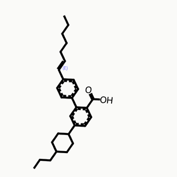 CCCCC/C=C/c1ccc(-c2cc(C3CCC(CCC)CC3)ccc2C(=O)O)cc1